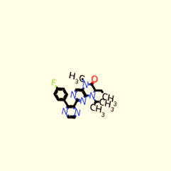 CCC1C(=O)N(C)c2cnc(-c3nccnc3-c3ccc(F)cc3)nc2N1C(C)C